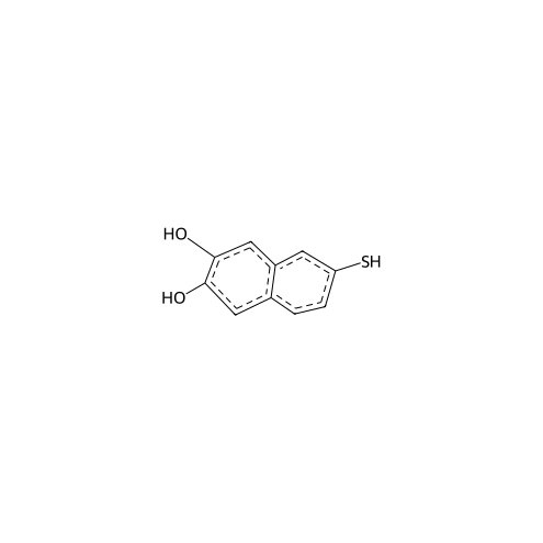 Oc1cc2ccc(S)cc2cc1O